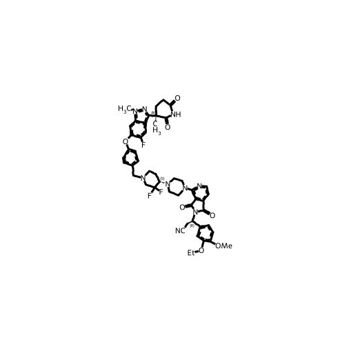 CCOc1cc([C@@H](CC#N)N2C(=O)c3ccnc(N4CCN([C@H]5CCN(Cc6ccc(Oc7cc8c(cc7F)c([C@@]7(C)CCC(=O)NC7=O)nn8C)cc6)CC5(F)F)CC4)c3C2=O)ccc1OC